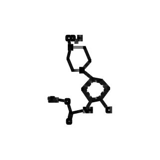 CC(C)(C)OC(=O)Nc1cc(N2CCN(C(=O)O)CC2)ccc1Cl